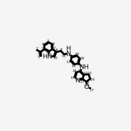 C=C(C)c1cccc2c(CCNc3ccc(Nc4ccnc5c4CCC5OC)cc3)c[nH]c12